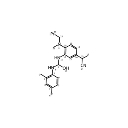 Cc1cc(F)ccc1NC(O)Nc1cc(C(C)C#N)ccc1N(C)CC(C)C